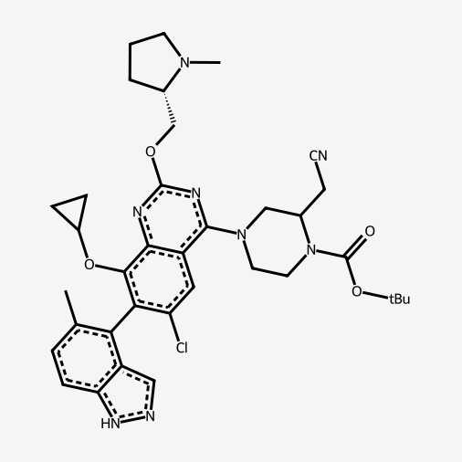 Cc1ccc2[nH]ncc2c1-c1c(Cl)cc2c(N3CCN(C(=O)OC(C)(C)C)C(CC#N)C3)nc(OC[C@@H]3CCCN3C)nc2c1OC1CC1